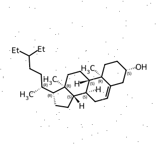 CCC(CC)CC[C@@H](C)[C@H]1CC[C@H]2[C@@H]3CC=C4C[C@@H](O)CC[C@]4(C)[C@H]3CC[C@]12C